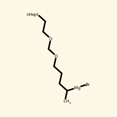 CCCCCCCCCOCOCCC[CH](C)[Mg][Br]